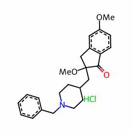 COc1ccc2c(c1)CC(CC1CCN(Cc3ccccc3)CC1)(OC)C2=O.Cl